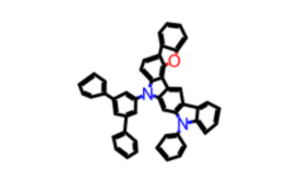 c1ccc(-c2cc(-c3ccccc3)cc(-n3c4cc5c(cc4c4c6oc7ccccc7c6ccc43)c3ccccc3n5-c3ccccc3)c2)cc1